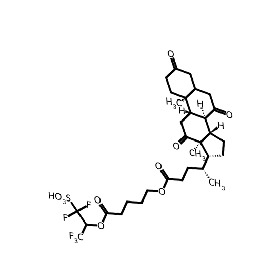 C[C@H](CCC(=O)OCCCCC(=O)OC(C(F)(F)F)C(F)(F)S(=O)(=O)O)[C@H]1CC[C@H]2[C@@H]3C(=O)CC4CC(=O)CC[C@]4(C)[C@H]3CC(=O)[C@]12C